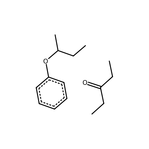 CCC(=O)CC.CCC(C)Oc1ccccc1